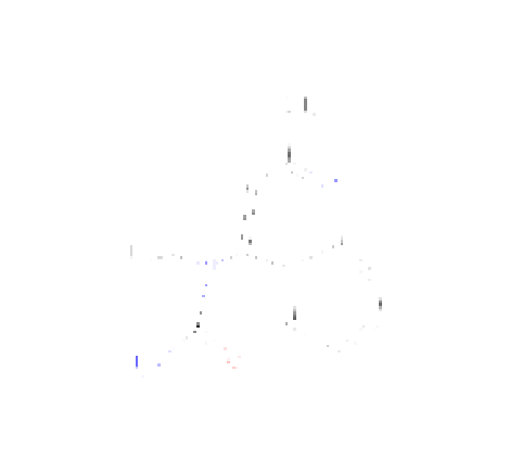 Cc1cc(N(C)C(N)=O)c2ccccc2n1